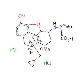 CC[C@H](C)[C@H](NC1CC[C@@]2(OC)[C@H]3Cc4ccc(O)c5c4[C@@]2(CCN3CC2CC2)C1O5)C(=O)O.Cl.Cl